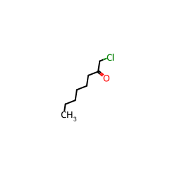 CCCCCCC(=O)CCl